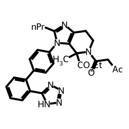 CCCc1nc2c(n1-c1ccc(-c3ccccc3-c3nnn[nH]3)cc1)C(C)(C(=O)OCC)N(C(=O)CC(C)=O)CC2